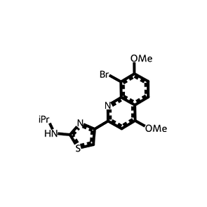 COc1ccc2c(OC)cc(-c3csc(NC(C)C)n3)nc2c1Br